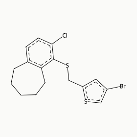 Clc1ccc2c(c1SCc1cc(Br)cs1)CCCCC2